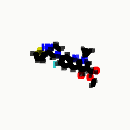 CCOC(=O)c1cn(C2CC2)c2nc3cc(N4CCNC(c5cccs5)C4)c(F)cc3cc2c1=O